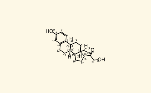 C[C@]12CC[C@@H]3c4ccc(O)cc4CC[C@H]3[C@@H]1CC[C@@H]2C(=O)CO